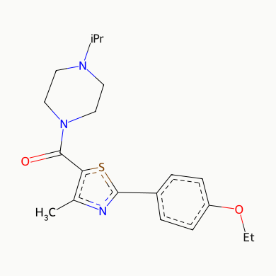 CCOc1ccc(-c2nc(C)c(C(=O)N3CCN(C(C)C)CC3)s2)cc1